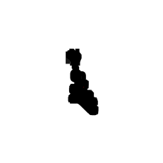 O=C(CCCC1(c2ccccc2)C23C=Cc4c5c6c7c4c2c2c4c8c(c9ccc%10c%11c%12c%13c%14c(c%15c7c2c(c%12%15)c8c9%11)C6C(C=C5)C%14CCC%10%13)C=CC431)OCCCCCCN1CCCN2CCCN=C12